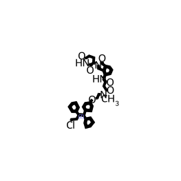 CN(CCOc1ccc(/C(=C(/CCCl)c2ccccc2)c2ccccc2)cc1)C(=O)CC(=O)Nc1cccc2c1CN(C1CCC(=O)NC1=O)C2=O